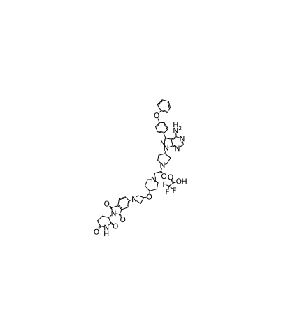 Nc1ncnc2c1c(-c1ccc(Oc3ccccc3)cc1)nn2C1CCN(C(=O)CN2CCC(OC3CN(c4ccc5c(c4)C(=O)N(C4CCC(=O)NC4=O)C5=O)C3)CC2)CC1.O=C(O)C(F)(F)F